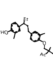 CCC(CCc1ccc(OCC(C)(C)C(C)=O)c(C)c1)c1ccc(O)c(C)c1